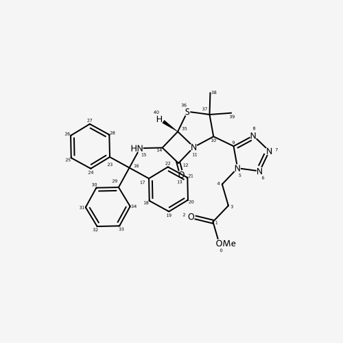 COC(=O)CCn1nnnc1C1N2C(=O)C(NC(c3ccccc3)(c3ccccc3)c3ccccc3)[C@@H]2SC1(C)C